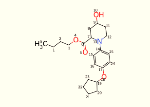 CCCCOC(=O)C1CC(O)CCN1c1ccc(OC2CCCC2)cc1